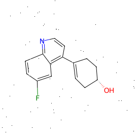 O[C@@H]1CC=C(c2ccnc3ccc(F)cc23)CC1